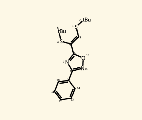 CC(C)(C)SC=C(SC(C)(C)C)c1nc(-c2ccccc2)no1